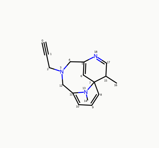 C#CCN1CC2=CC3(C=CC=C(C1)N3C)C(C)C=N2